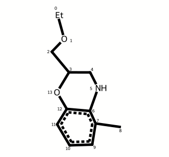 CCOCC1CNc2c(C)cccc2O1